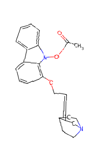 CC(=O)On1c2ccccc2c2cccc(OCC=C3CN4CCC3CC4)c21